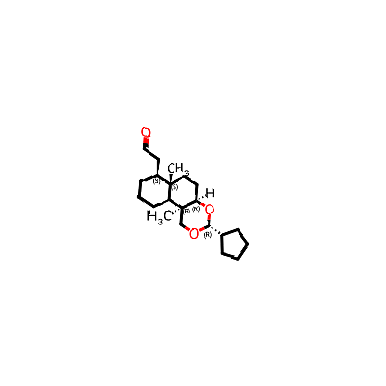 C[C@@]12CO[C@@H](C3CCCC3)O[C@@H]1CC[C@]1(C)C2CCC[C@H]1CC=O